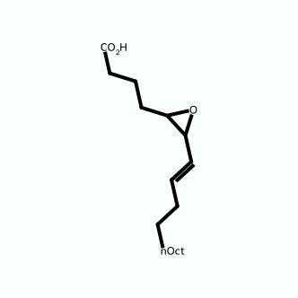 CCCCCCCCCC/C=C/C1OC1CCCC(=O)O